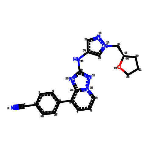 N#Cc1ccc(-c2cccn3nc(Nc4cnn(C[C@H]5CCCO5)c4)nc23)cc1